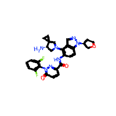 N[C@H]1CN(c2c(NC(=O)c3ccc(=O)n(-c4c(F)cccc4F)n3)ccc3c2cnn3[C@H]2CCOC2)CC12CC2